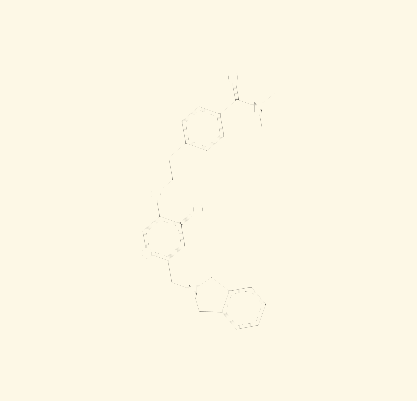 CN(C)C(=O)c1ccc(CCOc2coc(CN3Cc4ccccc4C3)cc2=O)cc1